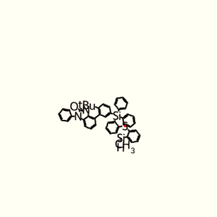 C[SiH]1c2ccccc2Sc2c1cccc2[Si](c1ccccc1)(c1ccccc1)c1ccc(C(C)(C)C)c(-c2cccc3c2nc2oc4ccccc4n23)c1